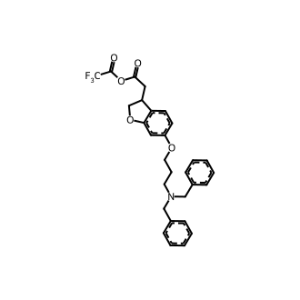 O=C(CC1COc2cc(OCCCN(Cc3ccccc3)Cc3ccccc3)ccc21)OC(=O)C(F)(F)F